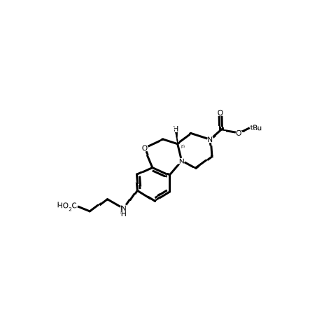 CC(C)(C)OC(=O)N1CCN2c3ccc(NCCC(=O)O)cc3OC[C@@H]2C1